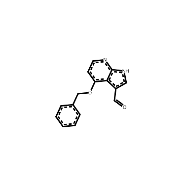 O=Cc1c[nH]c2nccc(OCc3ccccc3)c12